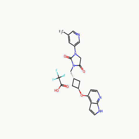 O=C(O)C(F)(F)F.O=C1CN(c2cncc(C(F)(F)F)c2)C(=O)N1C[C@H]1C[C@H](Oc2ccnc3[nH]ccc23)C1